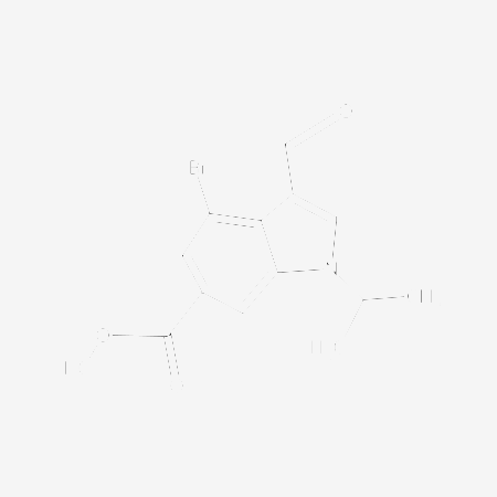 COC(=O)c1cc(Br)c2c(C=O)cn(C(C)C)c2c1